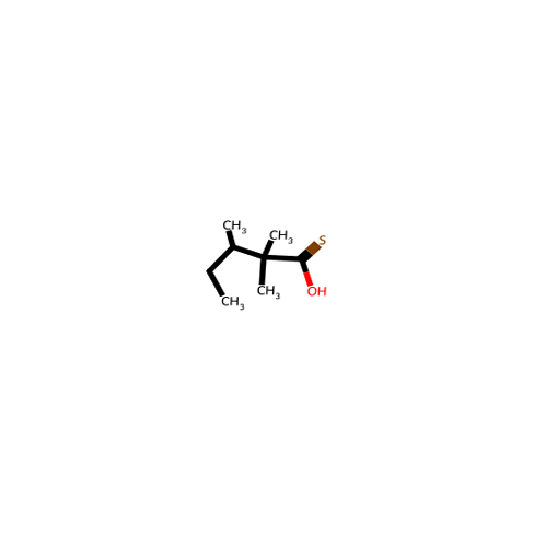 CCC(C)C(C)(C)C(O)=S